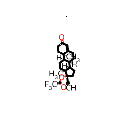 C#CC1(OC(=O)C(F)(F)F)CC[C@H]2[C@@H]3CCC4=CC(=O)CC[C@]4(C)[C@@H]3CC[C@@]21C